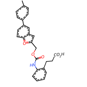 Cc1ccc(-c2ccc3oc(COC(=O)Nc4ccccc4CCC(=O)O)cc3c2)cc1